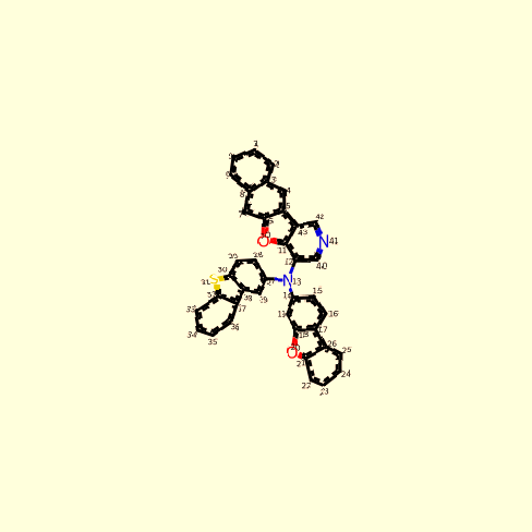 c1ccc2cc3c(cc2c1)oc1c(N(c2ccc4c(c2)oc2ccccc24)c2ccc4sc5ccccc5c4c2)cncc13